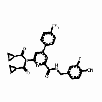 N#Cc1ccc(CNC(=O)c2cc(-c3ccc(C(F)(F)F)cc3)cc(N(C(=O)C3CC3)C(=O)C3CC3)n2)cc1F